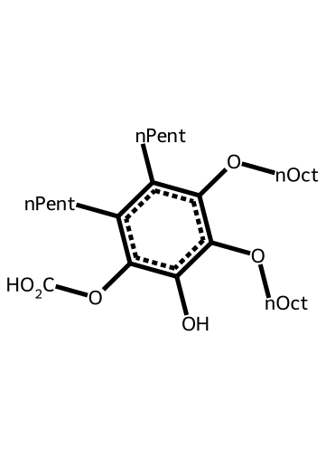 CCCCCCCCOc1c(O)c(OC(=O)O)c(CCCCC)c(CCCCC)c1OCCCCCCCC